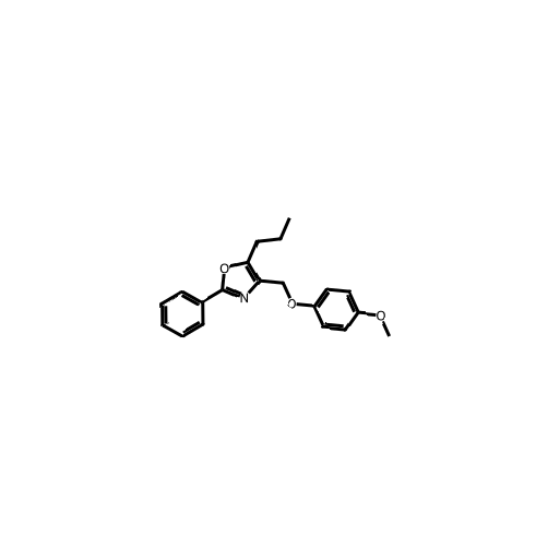 CCCc1oc(-c2ccccc2)nc1COc1ccc(OC)cc1